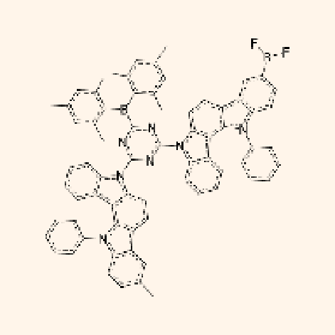 Cc1cc(C)c(B(c2nc(-n3c4ccccc4c4c3ccc3c5cc(C)ccc5n(-c5ccccc5)c34)nc(-n3c4ccccc4c4c3ccc3c5cc(B(F)F)ccc5n(-c5ccccc5)c34)n2)c2c(C)cc(C)cc2C)c(C)c1